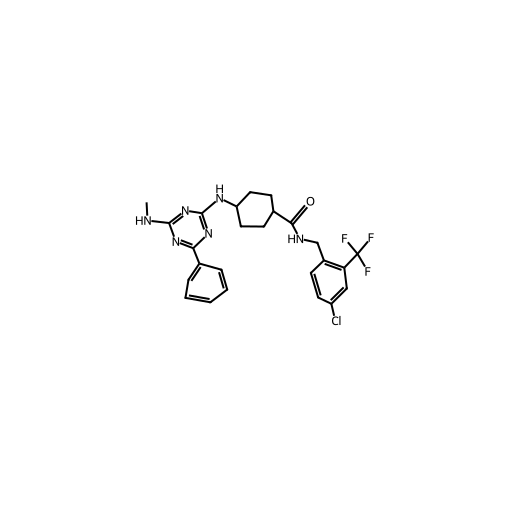 CNc1nc(NC2CCC(C(=O)NCc3ccc(Cl)cc3C(F)(F)F)CC2)nc(-c2ccccc2)n1